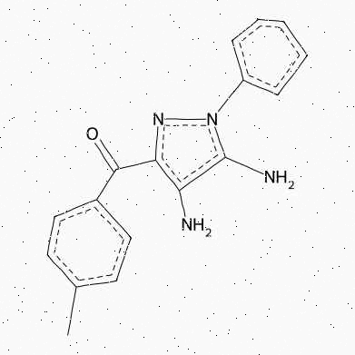 Cc1ccc(C(=O)c2nn(-c3ccccc3)c(N)c2N)cc1